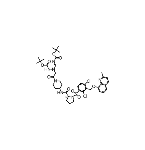 Cc1ccc2cccc(OCc3c(Cl)ccc(S(=O)(=O)N4CCC[C@H]4C(=O)NC4CCN(C(=O)CN(C=NC(=O)OC(C)(C)C)NC(=O)OC(C)(C)C)CC4)c3Cl)c2n1